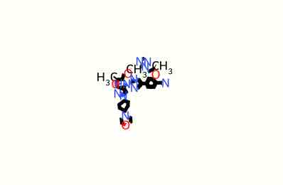 COCC[C@H](C)Oc1nn([C@H]2CC[C@H](N3CCOCC3)CC2)cc1Nc1ncc(-c2ccc(C#N)c(O[C@@H](C)Cn3cncn3)c2)cn1